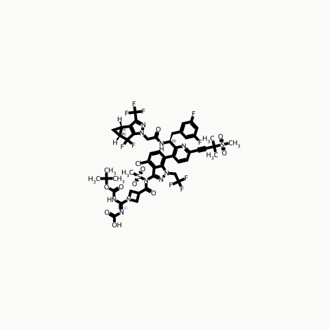 CC(C)(C)OC(=O)N/C(=N\C(=O)O)N1CC(C(=O)N(c2nn(CC(F)(F)F)c3c(-c4ccc(C#CC(C)(C)S(C)(=O)=O)nc4[C@H](Cc4cc(F)cc(F)c4)NC(=O)Cn4nc(C(F)(F)F)c5c4C(F)(F)[C@@H]4C[C@H]54)ccc(Cl)c23)S(C)(=O)=O)C1